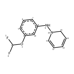 FC(F)Oc1cccc(NN2C=CC=CC2)c1